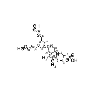 CC1N(CCCS(=O)(=O)O)c2ccc(N(CCCSOOO)CCCSOOO)cc2C1(C)C